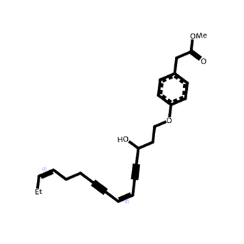 CC/C=C\CCC#C/C=C\C#CC(O)CCOc1ccc(CC(=O)OC)cc1